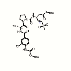 CC(C)(C)OC(=O)C[C@@H](/C=C/S(C)(=O)=O)NC(=O)[C@H]1CCCN1C(=O)[C@H](NC(=O)c1ccc(NC(=O)OC(C)(C)C)c(Cl)c1)C(C)(C)C